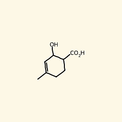 CC1=CC(O)C(C(=O)O)CC1